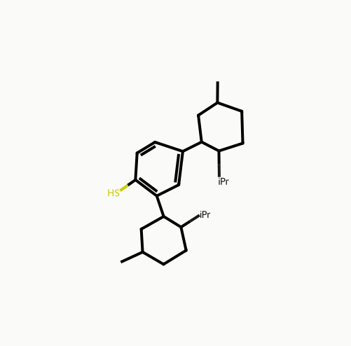 CC1CCC(C(C)C)C(c2ccc(S)c(C3CC(C)CCC3C(C)C)c2)C1